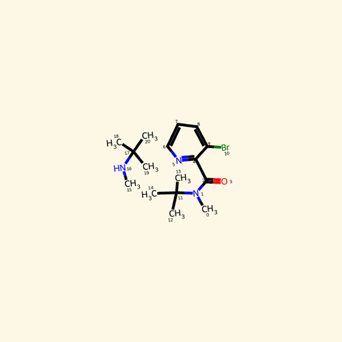 CN(C(=O)c1ncccc1Br)C(C)(C)C.CNC(C)(C)C